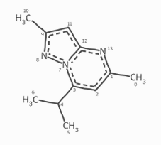 Cc1cc(C(C)C)n2nc(C)cc2n1